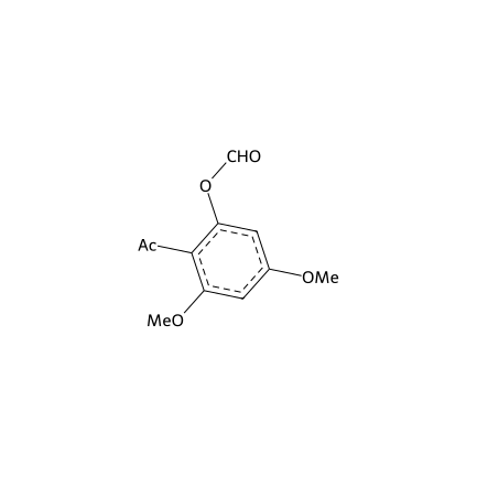 COc1cc(OC)c(C(C)=O)c(OC=O)c1